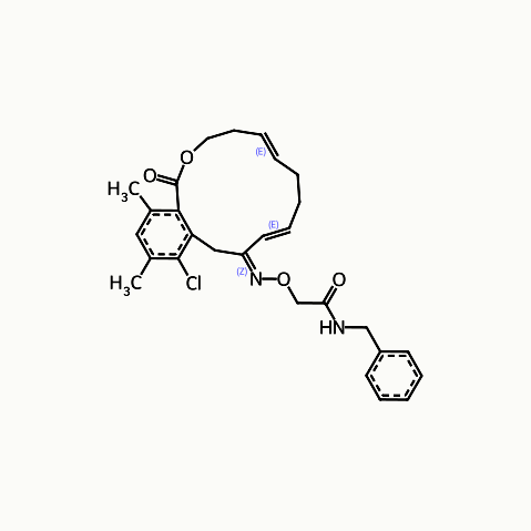 Cc1cc(C)c2c(c1Cl)CC(=N/OCC(=O)NCc1ccccc1)/C=C/CC/C=C/CCOC2=O